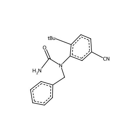 CC(C)(C)c1ccc(C#N)cc1N(Cc1ccccc1)C(N)=O